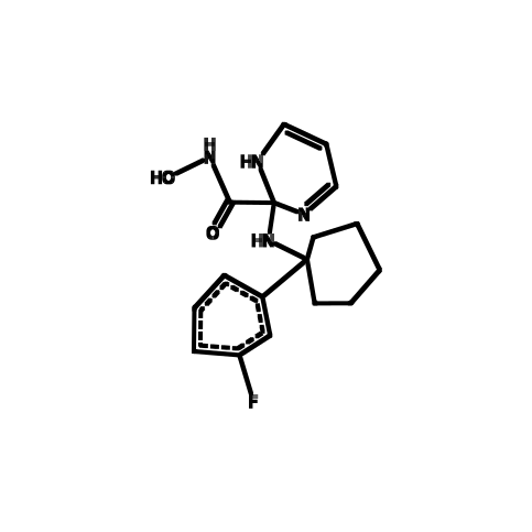 O=C(NO)C1(NC2(c3cccc(F)c3)CCCCC2)N=CC=CN1